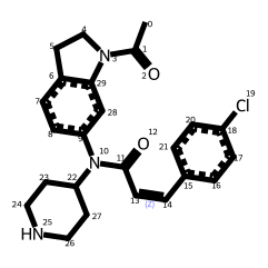 CC(=O)N1CCc2ccc(N(C(=O)/C=C\c3ccc(Cl)cc3)C3CCNCC3)cc21